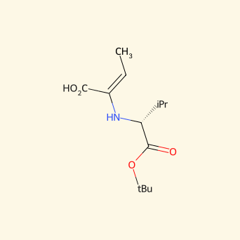 CC=C(N[C@@H](C(=O)OC(C)(C)C)C(C)C)C(=O)O